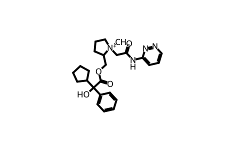 C[N+]1(CC(=O)Nc2cccnn2)CCCC1COC(=O)C(O)(c1ccccc1)C1CCCC1